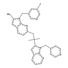 CC(C)(C)c1cc2ccc(CC(C)(C)c3cc4cccnc4n3Cc3ccncc3)nc2n1Cc1cncc(F)c1